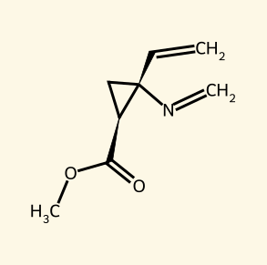 C=C[C@]1(N=C)C[C@@H]1C(=O)OC